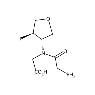 BCC(=O)N(CC(=O)O)[C@H]1COC[C@@H]1I